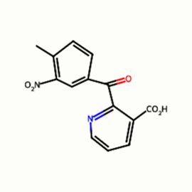 Cc1ccc(C(=O)c2ncccc2C(=O)O)cc1[N+](=O)[O-]